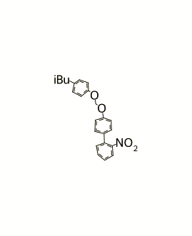 CCC(C)c1ccc(OCOc2ccc(-c3ccccc3[N+](=O)[O-])cc2)cc1